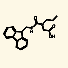 CCCN(CC(=O)O)C(=O)PCC1c2ccccc2-c2ccccc21